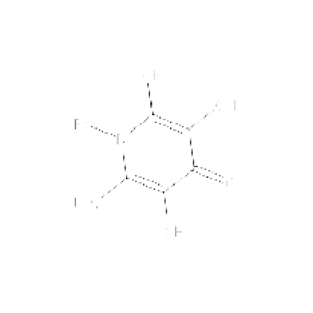 Cc1c(C)n(C(C)C)c(C)c(C)c1=O